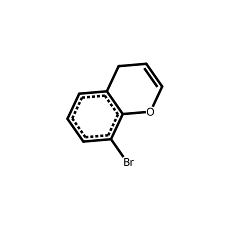 Brc1cccc2c1OC=CC2